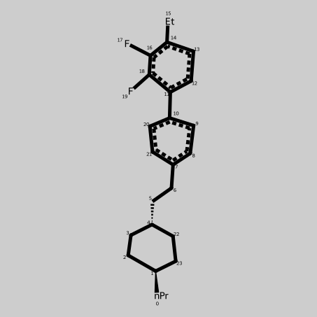 CCC[C@H]1CC[C@H](CCc2ccc(-c3ccc(CC)c(F)c3F)cc2)CC1